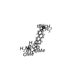 COc1cc(S(N)(=O)=O)cc(C(=O)O[C@H]2CCC3C4CCc5cc(O[Si](C)(C)C(C)(C)C)ccc5C4CC[C@@]32C)c1OC